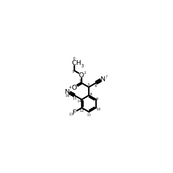 CCOC(=O)C(C#N)c1cccc(F)c1C#N